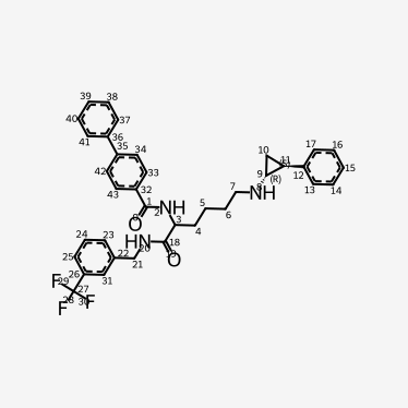 O=C(NC(CCCCN[C@@H]1C[C@H]1c1ccccc1)C(=O)NCc1cccc(C(F)(F)F)c1)c1ccc(-c2ccccc2)cc1